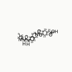 Cc1cnc(NC(=O)Nc2ccc3c(c2)CCN(C(=O)O[C@H]2CC[C@H](CC(=O)O)CC2)C3)s1